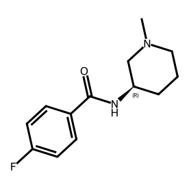 CN1CCC[C@@H](NC(=O)c2ccc(F)cc2)C1